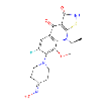 C[C@H]1COc2c(N3CCC(=NO)CC3)c(F)cc3c(=O)c4c(=O)[nH]sc4n1c23